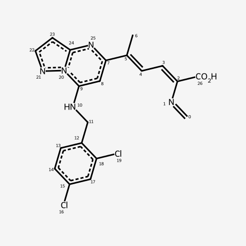 C=N/C(=C\C=C(/C)c1cc(NCc2ccc(Cl)cc2Cl)n2nccc2n1)C(=O)O